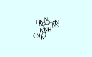 Cc1ncc(-c2cnc3[nH]nc(-c4nc5c(N6CCCCC6)nccc5[nH]4)c3c2)n1C